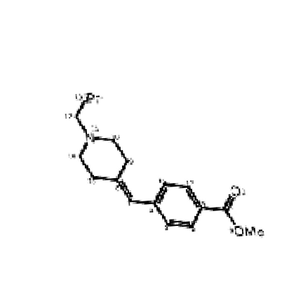 COC(=O)c1ccc(C=C2CCN(C[C](C)C)CC2)cc1